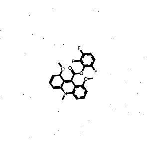 COc1cccc2c1C(C(=O)Oc1c(F)ccc(F)c1F)=C1C(=CC=CC1OC)N2C